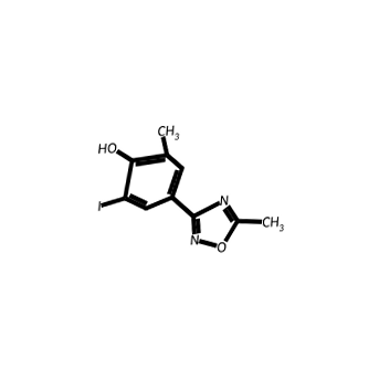 Cc1nc(-c2cc(C)c(O)c(I)c2)no1